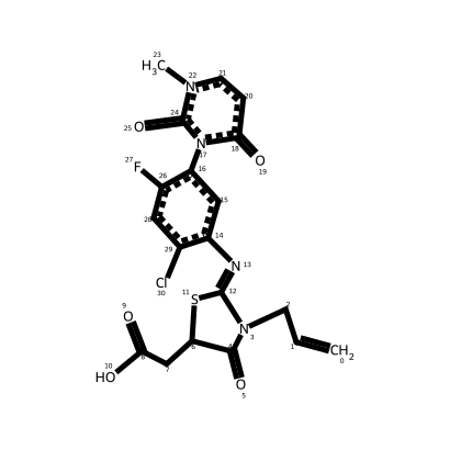 C=CCN1C(=O)C(CC(=O)O)SC1=Nc1cc(-n2c(=O)ccn(C)c2=O)c(F)cc1Cl